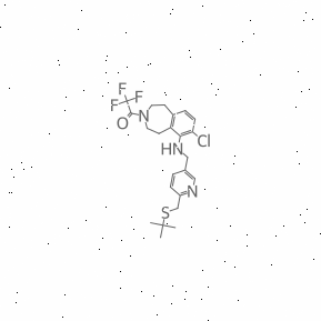 CC(C)(C)SCc1ccc(CNc2c(Cl)ccc3c2CCN(C(=O)C(F)(F)F)CC3)cn1